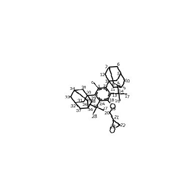 Cc1c(C23CC4CC(CC(C4)C2)C3)c(C(C)(C)C)c(OCC2CO2)c(C(C)(C)C)c1C12CC3CC(CC(C3)C1)C2